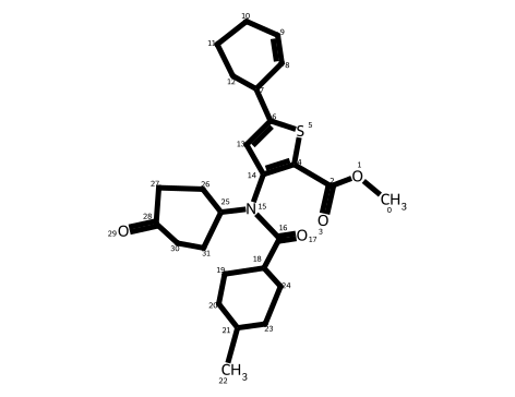 COC(=O)c1sc(C2C=CCCC2)cc1N(C(=O)C1CCC(C)CC1)C1CCC(=O)CC1